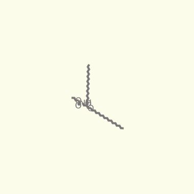 CCCCCCCCCCCCCCCCOCC(CNC(=O)OCCC)OCCCCCCCCCCCCCCCC